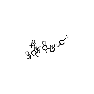 Cc1cc(Cc2nc3c(F)cc(C(=O)O)cc3n2[C@@H]2COCC2(C)C)c(Cl)cc1-c1cccc(OCc2ccc(C#N)cc2)n1